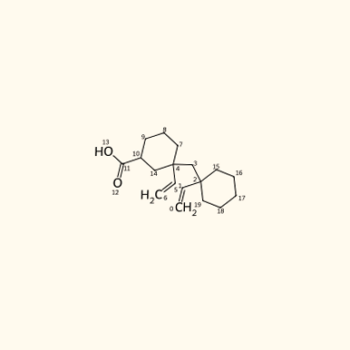 C=CC1(CC2(C=C)CCCC(C(=O)O)C2)CCCCC1